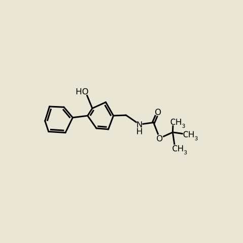 CC(C)(C)OC(=O)NCc1ccc(-c2ccccc2)c(O)c1